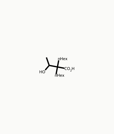 CCCCCCC(CCCCCC)(C(=O)O)C(C)O